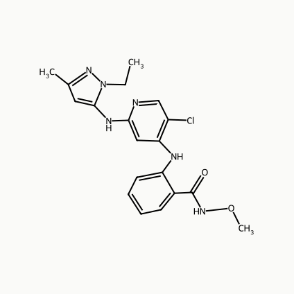 CCn1nc(C)cc1Nc1cc(Nc2ccccc2C(=O)NOC)c(Cl)cn1